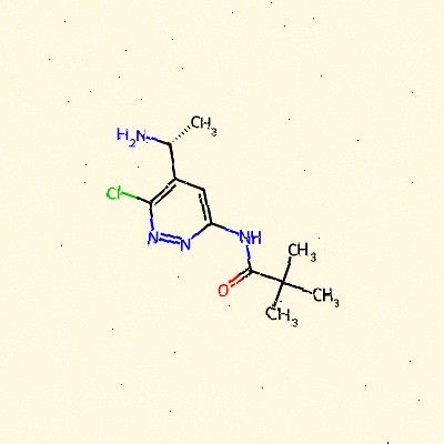 C[C@@H](N)c1cc(NC(=O)C(C)(C)C)nnc1Cl